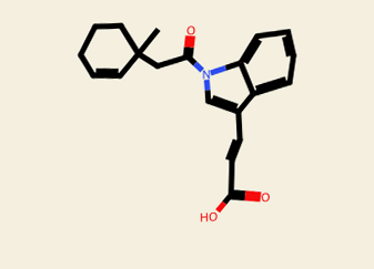 CC1(CC(=O)n2cc(/C=C/C(=O)O)c3ccccc32)C=CCCC1